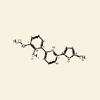 COc1cccc(-c2cccc(-c3ccc(C)s3)n2)c1C